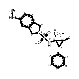 CC(C)Nc1ccc2c(c1)CN(S(=O)(=O)N[C@@]1(C(=O)O)C(C)[C@@H]1c1ccccc1)C2